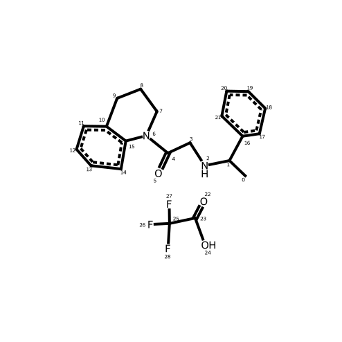 CC(NCC(=O)N1CCCc2ccccc21)c1ccccc1.O=C(O)C(F)(F)F